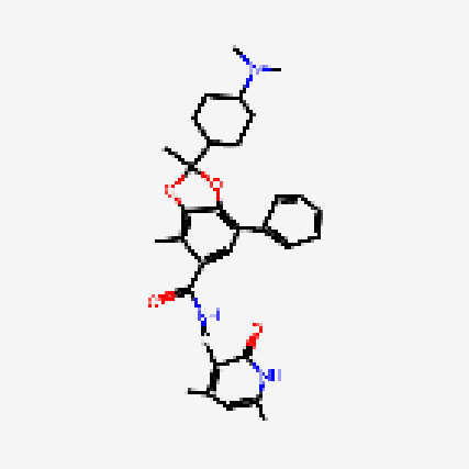 Cc1cc(C)c(CNC(=O)c2cc(-c3ccccc3)c3c(c2C)OC(C)(C2CCC(N(C)C)CC2)O3)c(=O)[nH]1